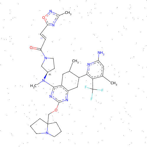 Cc1noc(/C=C/C(=O)N2CC[C@@H](N(C)c3nc(OCC45CCCN4CCC5)nc4c3CC(C)C(c3nc(N)cc(C)c3C(F)(F)F)C4)C2)n1